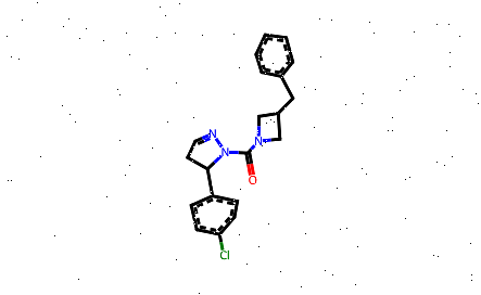 O=C(N1CC(Cc2ccccc2)C1)N1N=CCC1c1ccc(Cl)cc1